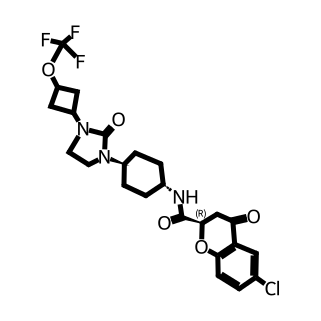 O=C1C[C@H](C(=O)N[C@H]2CC[C@H](N3CCN(C4CC(OC(F)(F)F)C4)C3=O)CC2)Oc2ccc(Cl)cc21